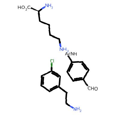 CC(=O)Nc1ccc(C=O)cc1.NCCCC[C@H](N)C(=O)O.NCCc1cccc(Cl)c1